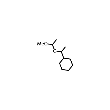 COC(C)OC(C)C1CCCCC1